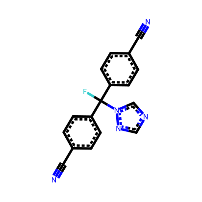 N#Cc1ccc(C(F)(c2ccc(C#N)cc2)n2cncn2)cc1